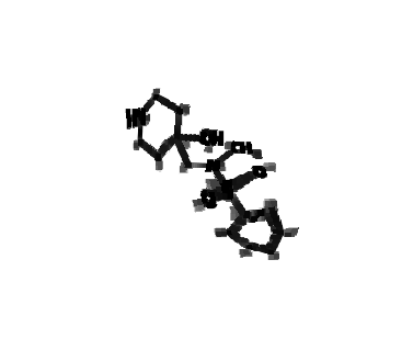 CN(CC1(O)CCNCC1)S(=O)(=O)c1ccccc1